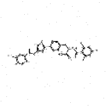 Cc1cc(C)c(C(=O)NC(Cc2ccc(-c3cc(CNc4cc(F)ccn4)co3)cc2)C(=O)O)c(C)c1